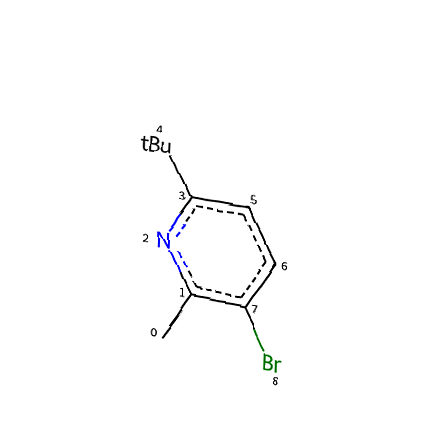 Cc1nc(C(C)(C)C)ccc1Br